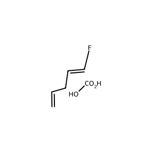 C=CCC=CF.O=C(O)O